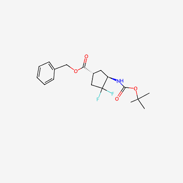 CC(C)(C)OC(=O)N[C@@H]1C[C@@H](C(=O)OCc2ccccc2)CC1(F)F